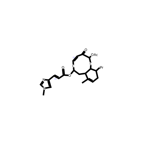 CC(=O)OC1CC2C(CC(OC(=O)/C=C/c3cn(C)cn3)C/C=C\C1=O)C(C)=CCC2C(C)C